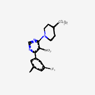 CCOC(=O)C1CCN(c2ncnc(-c3cc(C)cc(C(F)(F)F)c3)c2[N+](=O)[O-])CC1